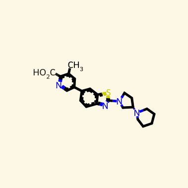 Cc1cc(-c2ccc3nc(N4CC[C@@H](N5CCCCC5)C4)sc3c2)cnc1C(=O)O